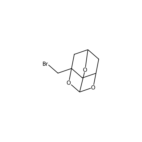 BrCC12CC3CC(C1)OC(O3)O2